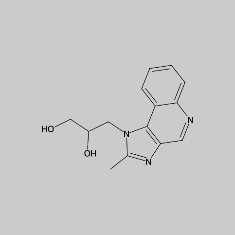 Cc1nc2cnc3ccccc3c2n1CC(O)CO